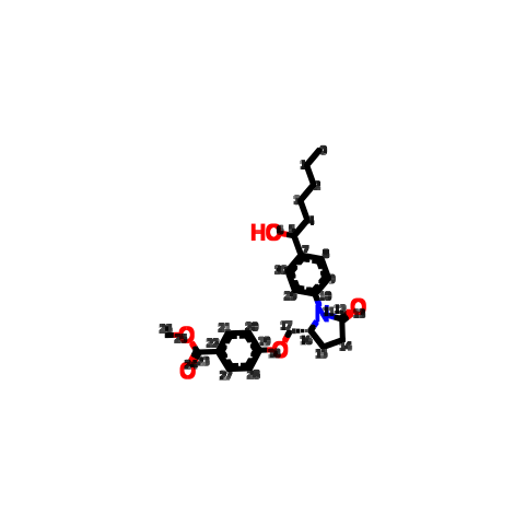 CCCCCC(O)c1ccc(N2C(=O)CC[C@@H]2COc2ccc(C(=O)OC)cc2)cc1